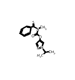 CC(C)n1cc(OC(=O)N(C)C(=S)c2ccccc2)cn1